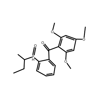 CCC(C)[PH](=O)c1ccccc1C(=O)c1c(OC)cc(OC)cc1OC